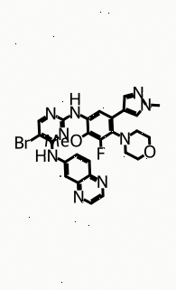 COc1c(Nc2ncc(Br)c(Nc3[c]c4nccnc4cc3)n2)cc(-c2cnn(C)c2)c(N2CCOCC2)c1F